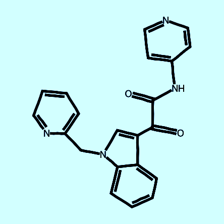 O=C(Nc1ccncc1)C(=O)c1cn(Cc2ccccn2)c2ccccc12